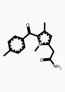 Cc1ccc(C(=O)c2c(C)cc(CC(N)=O)n2C)cc1